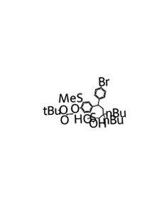 CCCCC1(CCCC)CC(c2ccc(Br)cc2)c2cc(SC)c(OCC(=O)OC(C)(C)C)cc2S(O)(O)C1